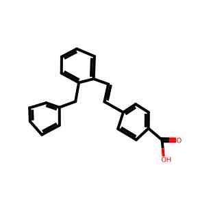 O=C(O)c1ccc(C=Cc2ccccc2Cc2ccccc2)cc1